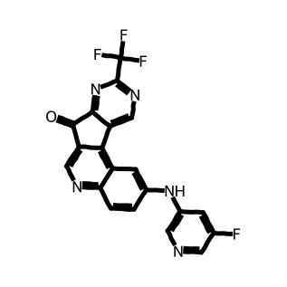 O=C1c2cnc3ccc(Nc4cncc(F)c4)cc3c2-c2cnc(C(F)(F)F)nc21